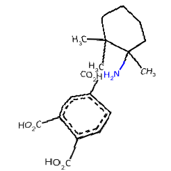 CC1(C)CCCCC1(C)N.O=C(O)c1ccc(C(=O)O)c(C(=O)O)c1